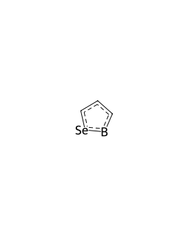 b1ccc[se]1